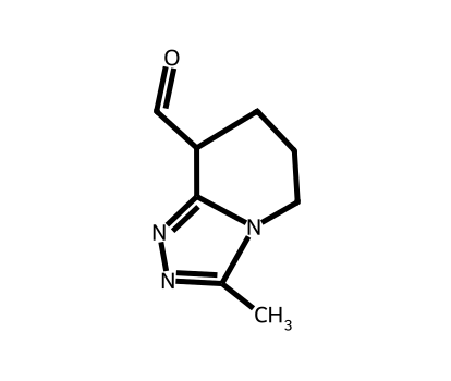 Cc1nnc2n1CCCC2C=O